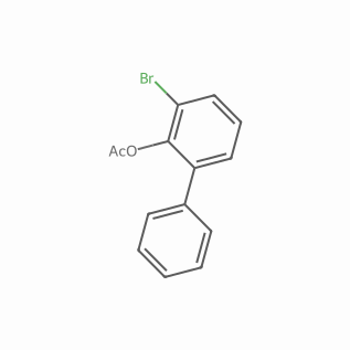 CC(=O)Oc1c(Br)cccc1-c1ccccc1